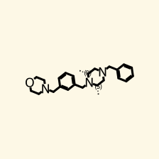 C[C@@H]1CN(Cc2ccccc2)C[C@H](C)N1Cc1cccc(CN2CCOCC2)c1